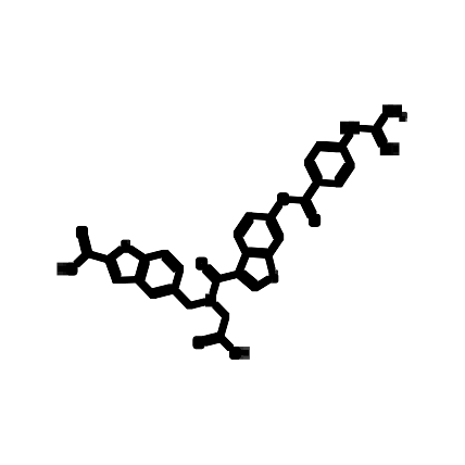 N=C(N)Nc1ccc(C(=O)Oc2ccc3c(C(=O)N(CC(=O)O)Cc4ccc5sc(C(=O)O)cc5c4)csc3c2)cc1